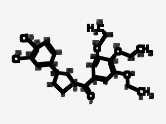 CCOc1cc(C(=O)N2CC[C](c3ccc(Cl)c(Cl)c3)C2)cc(OCC)c1OCC